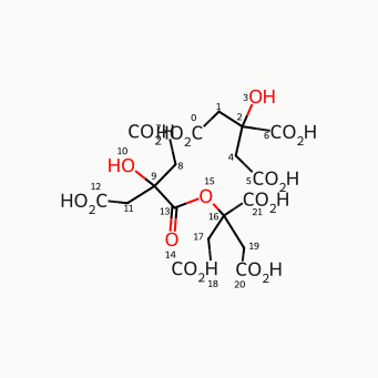 O=C(O)CC(O)(CC(=O)O)C(=O)O.O=C(O)CC(O)(CC(=O)O)C(=O)OC(CC(=O)O)(CC(=O)O)C(=O)O